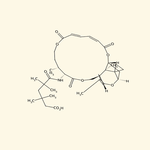 CC1=C[C@H]2O[C@@H]3C[C@H]4OC(=O)/C=C\C=C\C(=O)OCC[C@@H](C)[C@@H](NC(=O)C(C)(C)CC(C)(C)CC(=O)O)C(=O)OC[C@@]2(CC1)[C@]4(C)C31CC1